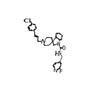 O=C(NCc1ccnc(F)c1)N1CC2(CCN(C/C=C/c3ccc(Cl)cc3)CC2)c2ccccc21